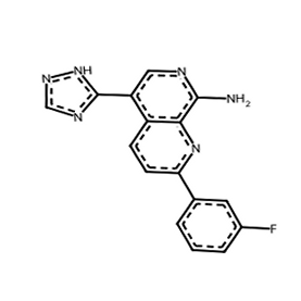 Nc1ncc(-c2ncn[nH]2)c2ccc(-c3cccc(F)c3)nc12